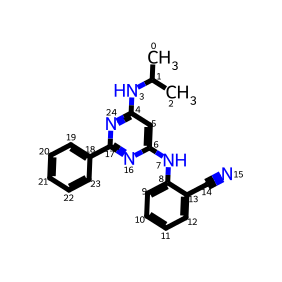 CC(C)Nc1cc(Nc2ccccc2C#N)nc(-c2ccccc2)n1